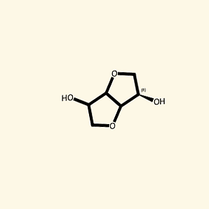 OC1COC2C1OC[C@H]2O